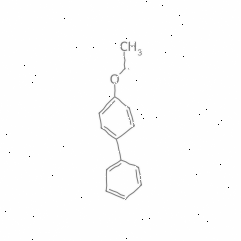 C[CH]Oc1ccc(-c2ccccc2)cc1